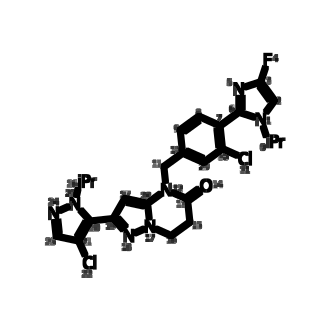 CC(C)n1cc(F)nc1-c1ccc(CN2C(=O)CCn3nc(-c4c(Cl)cnn4C(C)C)cc32)cc1Cl